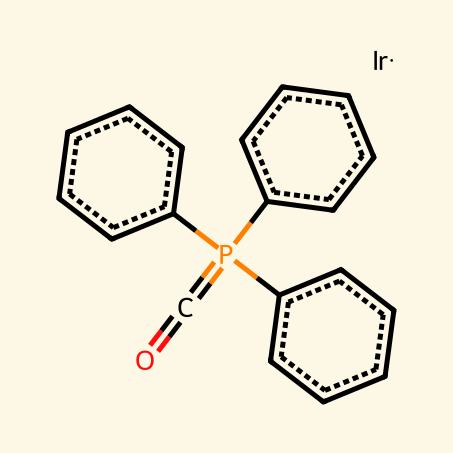 O=C=P(c1ccccc1)(c1ccccc1)c1ccccc1.[Ir]